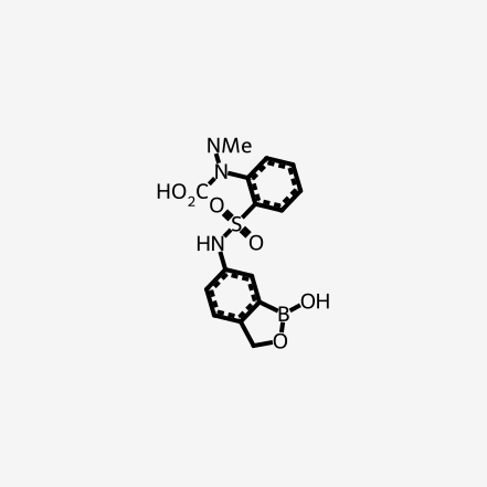 CNN(C(=O)O)c1ccccc1S(=O)(=O)Nc1ccc2c(c1)B(O)OC2